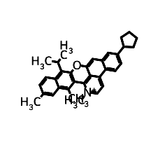 Cc1ccc2c(C(C)C)c3c(c(C)c2c1)-c1c2c(cc4cc(C5CCCC5)ccc4c2cc[n+]1C)O3